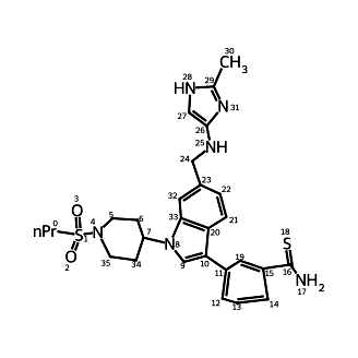 CCCS(=O)(=O)N1CCC(n2cc(-c3cccc(C(N)=S)c3)c3ccc(CNc4c[nH]c(C)n4)cc32)CC1